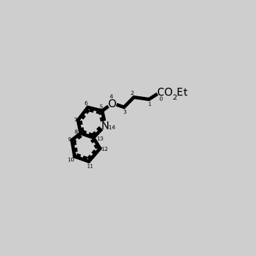 CCOC(=O)CCCOc1ccc2ccccc2n1